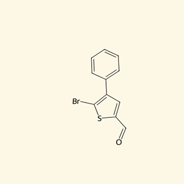 O=Cc1cc(-c2ccccc2)c(Br)s1